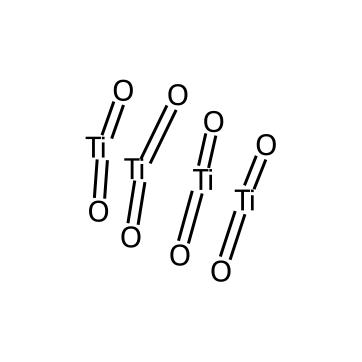 [O]=[Ti]=[O].[O]=[Ti]=[O].[O]=[Ti]=[O].[O]=[Ti]=[O]